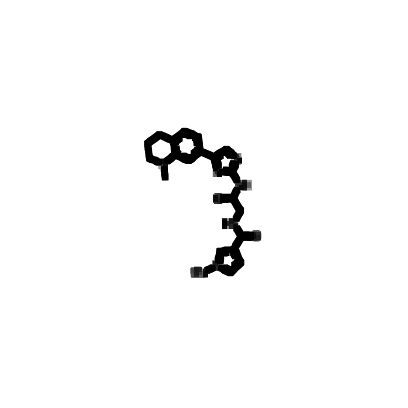 CN1CCCc2ccc(-c3csc(NC(=O)CNC(=O)c4ccn(C(C)(C)C)c4)n3)cc21